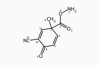 CC1(C(=O)ON)C=CC(=O)C(C#N)=C1